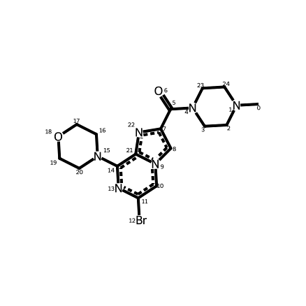 CN1CCN(C(=O)c2cn3cc(Br)nc(N4CCOCC4)c3n2)CC1